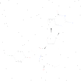 CCOC(=O)[C@H](C)NP(=O)(OC[C@H]1O[C@@H](c2scc3c(=O)[nH]c(N)nc23)[C@](C)(O)[C@@H]1O)Oc1ccc(Cl)cc1